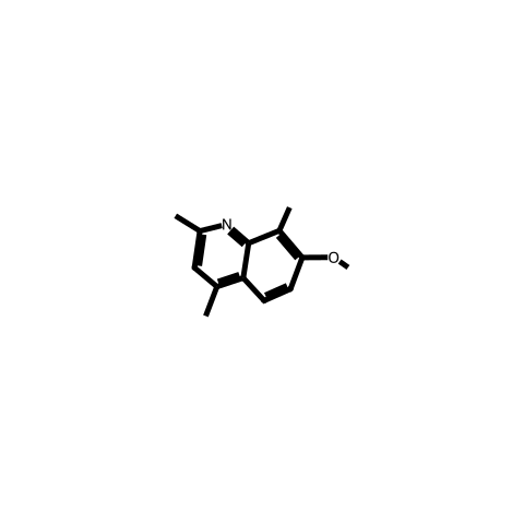 COc1ccc2c(C)cc(C)nc2c1C